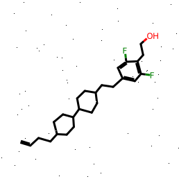 C=CCCC1CCC(C2CCC(CCc3cc(F)c(CCO)c(F)c3)CC2)CC1